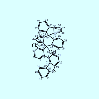 OC1(c2c(Cl)cccc2-c2cccc3sc4ccccc4c23)c2ccccc2C2(c3ccccc3-c3ccccc32)c2ccccc21